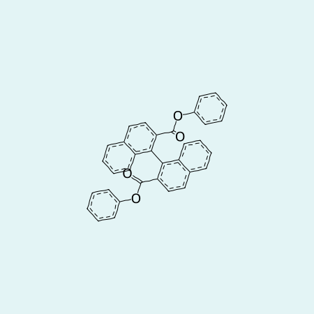 O=C(Oc1ccccc1)c1ccc2ccccc2c1-c1c(C(=O)Oc2ccccc2)ccc2ccccc12